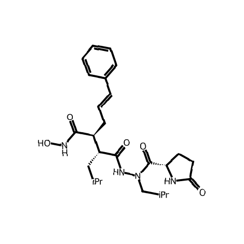 CC(C)C[C@@H](C(=O)NN(CC(C)C)C(=O)[C@@H]1CCC(=O)N1)[C@H](CC=Cc1ccccc1)C(=O)NO